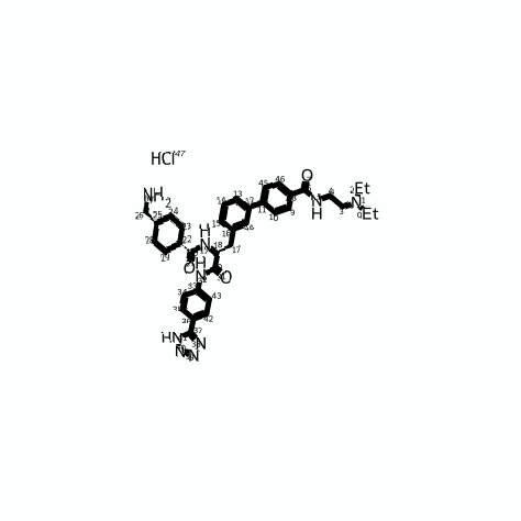 CCN(CC)CCNC(=O)c1ccc(-c2cccc(C[C@H](NC(=O)[C@H]3CC[C@H](CN)CC3)C(=O)Nc3ccc(-c4nnn[nH]4)cc3)c2)cc1.Cl